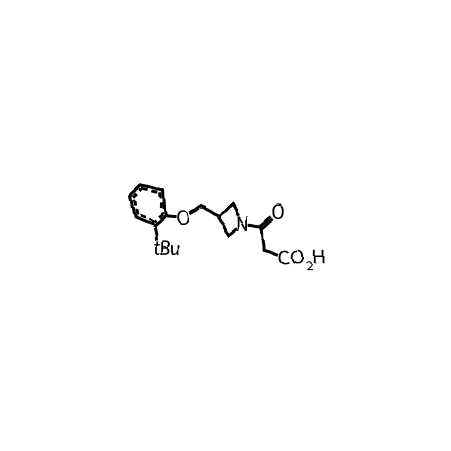 CC(C)(C)c1ccccc1OCC1CN(C(=O)CC(=O)O)C1